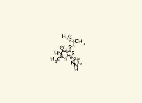 CCC(C)CSc1sc(-c2cc[nH]n2)c2c1C(=O)N[C@H](C)C2